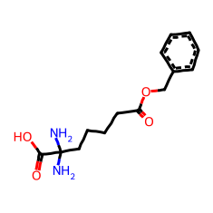 NC(N)(CCCCC(=O)OCc1ccccc1)C(=O)O